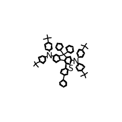 CC(C)(C)c1ccc(N(c2ccc(C(C)(C)C)cc2)c2ccc3c(c2)C(c2ccccc2)(c2ccccc2)c2cc(N(c4ccc(C(C)(C)C)cc4)c4ccc(C(C)(C)C)cc4)c4sc5cc(-c6ccccc6)ccc5c4c2-3)cc1